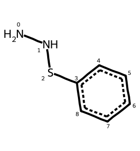 NNSc1ccccc1